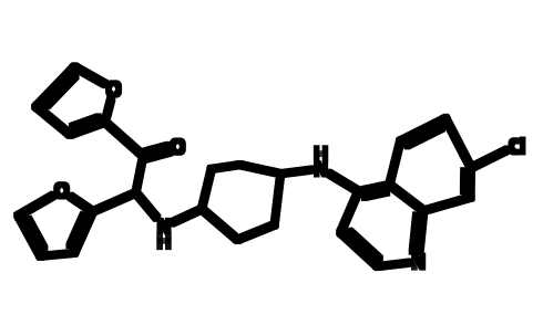 O=C(c1ccco1)C(NC1CCC(Nc2ccnc3cc(Cl)ccc23)CC1)c1ccco1